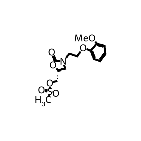 COc1ccccc1OCCN1C[C@H](COS(C)(=O)=O)OC1=O